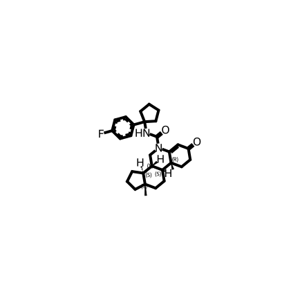 C[C@@]12CCC[C@H]1[C@@H]1CN(C(=O)NC3(c4ccc(F)cc4)CCCC3)C3=CC(=O)CC[C@]3(C)[C@H]1CC2